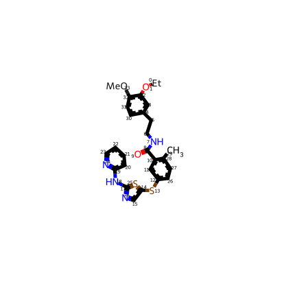 CCOc1cc(CCNC(=O)c2cc(Sc3cnc(Nc4ccccn4)s3)ccc2C)ccc1OC